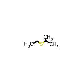 C[C]SC(C)C